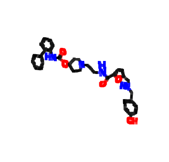 O=C(Nc1ccccc1-c1ccccc1)OC1CCN(CCNC(=O)c2ccc(CNCc3ccc(O)cc3)o2)CC1